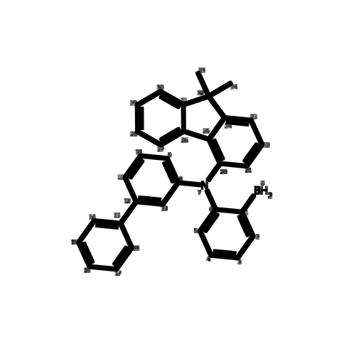 Bc1ccccc1N(c1cccc(-c2ccccc2)c1)c1cccc2c1-c1ccccc1C2(C)C